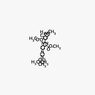 CCOC(=O)c1nc(-c2cc3cn(C)nc3c(C)c2OCOC)nc2ccc(N3CCN(C(=O)OC(C)(C)C)CC3)cc12